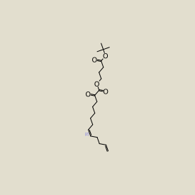 C=CCC/C=C\CCCCCC(=O)C(=O)OCCCC(=O)OC(C)(C)C